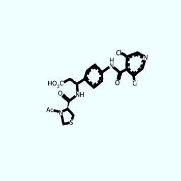 CC(=O)N1CSC[C@@H]1C(=O)NC(CC(=O)O)c1ccc(NC(=O)c2c(Cl)cncc2Cl)cc1